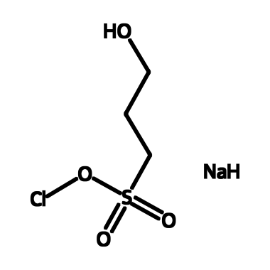 O=S(=O)(CCCO)OCl.[NaH]